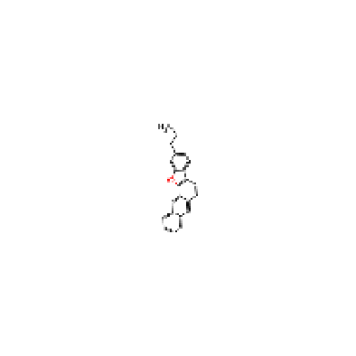 CCCc1ccc2c(c1)oc1c3cc4ccccc4cc3ccc21